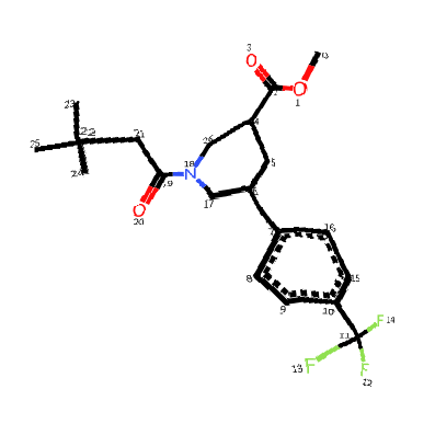 COC(=O)C1CC(c2ccc(C(F)(F)F)cc2)CN(C(=O)CC(C)(C)C)C1